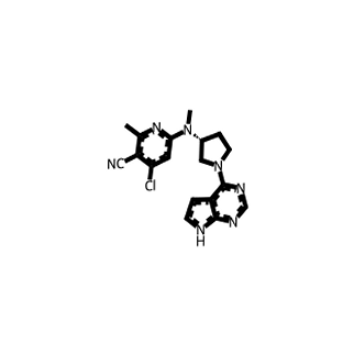 Cc1nc(N(C)[C@@H]2CCN(c3ncnc4[nH]ccc34)C2)cc(Cl)c1C#N